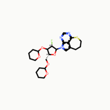 F[C@@H]1C(OC2CCCCO2)[C@@H](COC2CCCCO2)OC1n1cc2c3c(ncnc31)SCCC2